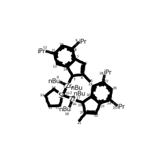 CCC[CH2][Zr]([CH2]CCC)([CH]1C(C)=Cc2c(C(C)C)cc(C(C)C)cc21)[Si]1([Zr]([CH2]CCC)([CH2]CCC)[CH]2C(C)=Cc3c(C(C)C)cc(C(C)C)cc32)CCCC1